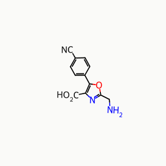 N#Cc1ccc(-c2oc(CN)nc2C(=O)O)cc1